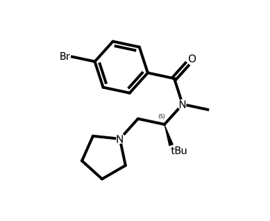 CN(C(=O)c1ccc(Br)cc1)[C@H](CN1CCCC1)C(C)(C)C